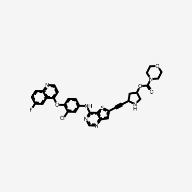 O=C(OC1CNC(C#Cc2cc3ncnc(Nc4ccc(Oc5ccnc6ccc(F)cc56)c(Cl)c4)c3s2)C1)N1CCOCC1